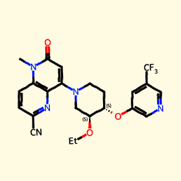 CCO[C@H]1CN(c2cc(=O)n(C)c3ccc(C#N)nc23)CC[C@@H]1Oc1cncc(C(F)(F)F)c1